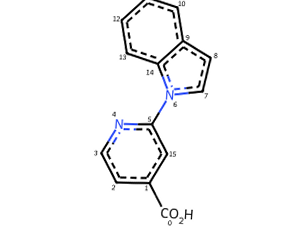 O=C(O)c1ccnc(-n2ccc3ccccc32)c1